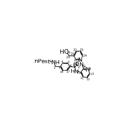 CCCCCNCc1ccc(C(=O)Nc2cccnc2N)cc1.OCc1cccnc1